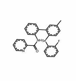 Cc1ccc([Se]c2ccccc2F)c(-c2ccccc2NC(=O)c2ccccn2)c1